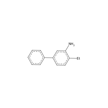 CCc1ccc(-c2ccccc2)cc1N